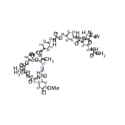 COc1ccc(C[C@H]2NC(=O)/C=C/CC([C@H](C)[C@@H]3O[C@H]3c3ccc(CNC(=O)OCc4ccc(NC(=O)[C@H](CCCNC(N)=O)NC(=O)[C@@H](N)C(C)C)cc4)cc3)OC(=O)[C@H](CC(C)C)OC(=O)C(C)(C)CNC2=O)cc1Cl